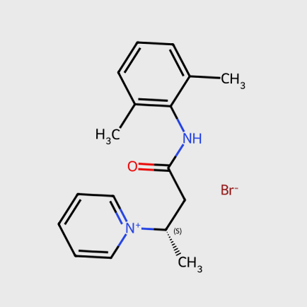 Cc1cccc(C)c1NC(=O)C[C@H](C)[n+]1ccccc1.[Br-]